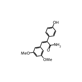 COc1cc(/C=C(\C(N)=O)c2ccc(O)cc2)cc(OC)c1